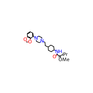 CO[C@@H](C(=O)NC1CCC(CCN2CCN(c3cccc4c3OCO4)CC2)CC1)C(C)C